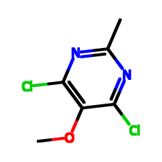 COc1c(Cl)nc(C)nc1Cl